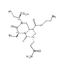 CC(C)CCOC(=O)N1O[C@H](CCC(N)=O)C(=O)N2C1CN([C@@H](CC(C)C)C(=O)O)C(=O)[C@@H]2CC(C)C